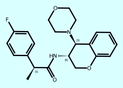 C[C@H](C(=O)N[C@H]1COc2ccccc2[C@@H]1N1CCOCC1)c1ccc(F)cc1